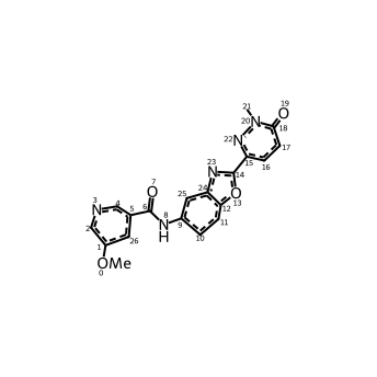 COc1cncc(C(=O)Nc2ccc3oc(-c4ccc(=O)n(C)n4)nc3c2)c1